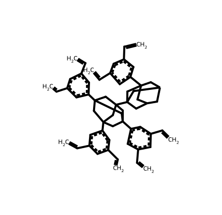 C=Cc1cc(C=C)cc(C23CC4CC(C2)CC(C25CC6(c7cc(C=C)cc(C=C)c7)CC(c7cc(C=C)cc(C=C)c7)(CC(c7cc(C=C)cc(C=C)c7)(C6)C2)C5)(C4)C3)c1